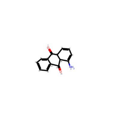 NC1=CC=CC2C(=O)c3ccccc3C(=O)C12